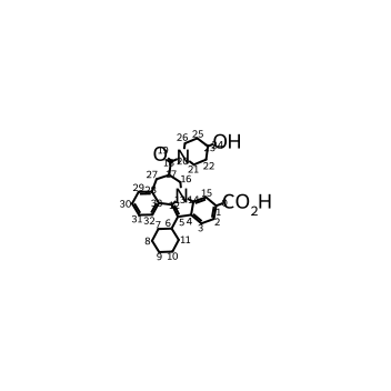 O=C(O)c1ccc2c(C3CCCCC3)c3n(c2c1)CC(C(=O)N1CCC(O)CC1)Cc1ccccc1-3